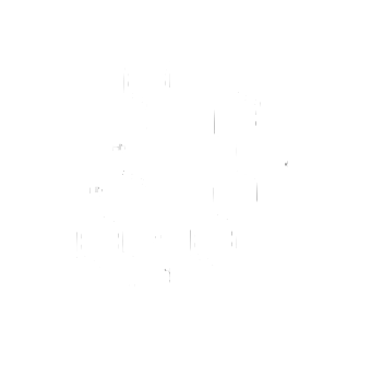 O=C(NCc1ccccc1)Nc1cccc(S(=O)(=O)Nc2cccc(CC(C(=O)O)c3ccccc3)c2)c1